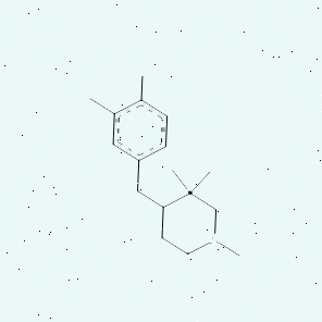 CN1CCC(Cc2ccc(Cl)c(Cl)c2)C(C)(C)C1